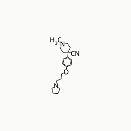 CN1CCC(C#N)(c2ccc(OCCCN3CCCC3)cc2)CC1